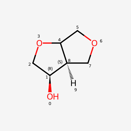 O[C@H]1COC2COC[C@H]21